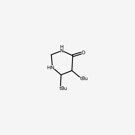 CC(C)(C)C1NCNC(=O)C1C(C)(C)C